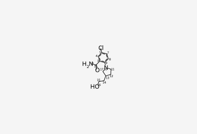 NC(=O)c1cc(Cl)ccc1N1CCC(CCO)C1